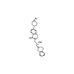 CC(=O)N1CCC(c2ccc3c(c2)CCN(C[C@H](O)CN2CCc4ccccc4C2)C3=O)CC1